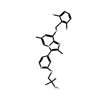 Cc1cc(OCc2c(F)cccc2F)c2nc(C)c(-c3ccnc(OCC(C)(C)N)c3)n2c1